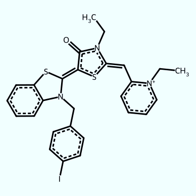 CCn1c(=O)/c(=C2\Sc3ccccc3N2Cc2ccc(I)cc2)s/c1=C\c1cccc[n+]1CC